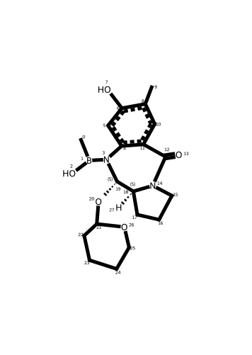 CB(O)N1c2cc(O)c(C)cc2C(=O)N2CCC[C@H]2[C@@H]1OC1CCCCO1